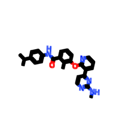 CNc1nccc(-c2cccnc2Oc2cccc(C(=O)Nc3ccc(C(C)C)cc3)c2C)n1